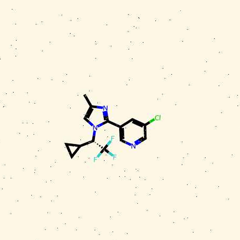 Cc1cn([C@@H](C2CC2)C(F)(F)F)c(-c2cncc(Cl)c2)n1